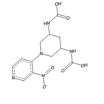 O=C(O)NC1CC(NC(=O)O)CN(c2ccncc2[N+](=O)[O-])C1